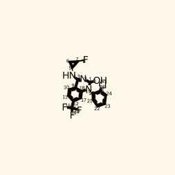 OC1N=C(N[C@@H]2C[C@H]2F)c2ccc(C(F)(F)F)cc2N1c1ccccc1Cl